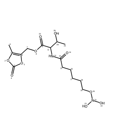 Cc1oc(=O)oc1COC(=O)C(NC(=O)CCCCCON(O)O)C(C)O